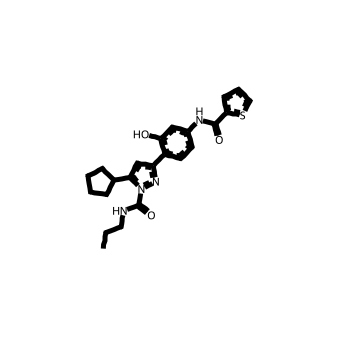 CCCNC(=O)n1nc(-c2ccc(NC(=O)c3cccs3)cc2O)cc1C1CCCC1